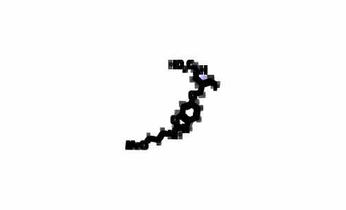 COCCCNc1nc2ccc(OC/C(=C\F)CNC(=O)O)cc2o1